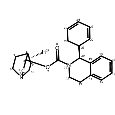 O=C(O[C@H]1CN2CCC1CC2)N1CCc2ccccc2[C@@H]1C1C=CC=CC1